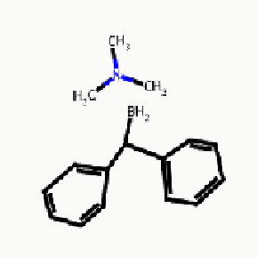 BC(c1ccccc1)c1ccccc1.CN(C)C